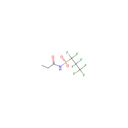 CCC(=O)NS(=O)(=O)C(F)(F)C(F)(F)C(F)(F)F